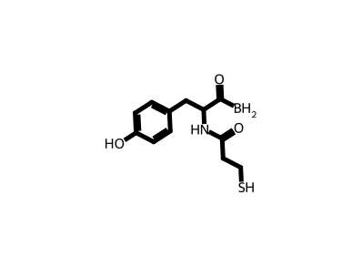 BC(=O)C(Cc1ccc(O)cc1)NC(=O)CCS